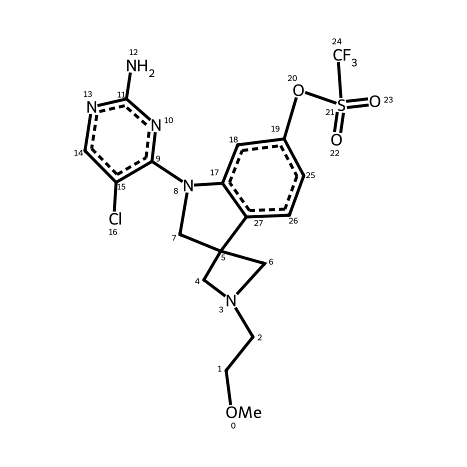 COCCN1CC2(C1)CN(c1nc(N)ncc1Cl)c1cc(OS(=O)(=O)C(F)(F)F)ccc12